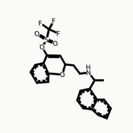 CC(NCCC1C=C(OS(=O)(=O)C(F)(F)F)c2ccccc2O1)c1cccc2ccccc12